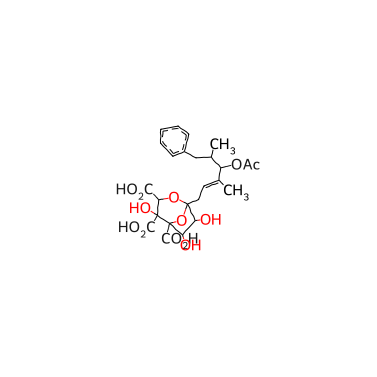 CC(=O)OC(/C(C)=C/CC12OC(C(=O)O)C(O)(C(=O)O)C(C(=O)O)(O1)C(O)C2O)C(C)Cc1ccccc1